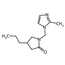 CCCC1CC(=O)N(Cn2ccnc2C)C1